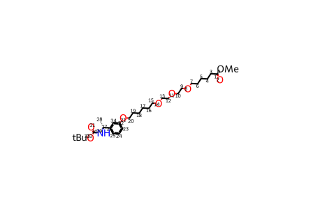 COC(=O)CCCCCOCCOCCOCCCCCCOc1cccc([C@@H](C)NC(=O)OC(C)(C)C)c1